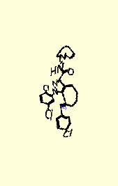 O=C(NN1CCCCC1)c1nn(-c2cc(Cl)ccc2Cl)c2c1CCCC/C2=C\c1ccc(Cl)cc1